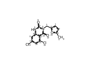 Cc1ccc(Cn2c(=O)[nH]c3cc(Cl)cc(Cl)c3c2=O)o1